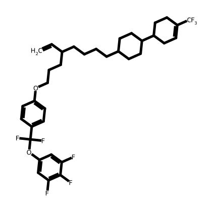 C=CC(CCCCC1CCC(C2CC=C(C(F)(F)F)CC2)CC1)CCCOc1ccc(C(F)(F)Oc2cc(F)c(F)c(F)c2)cc1